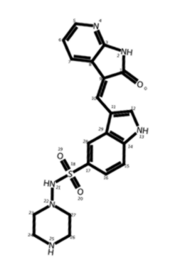 O=C1Nc2ncccc2C1=Cc1c[nH]c2ccc(S(=O)(=O)NN3CCNCC3)cc12